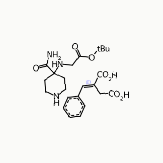 CC(C)(C)OC(=O)CNC1(C(N)=O)CCNCC1.O=C(O)C/C(=C\c1ccccc1)C(=O)O